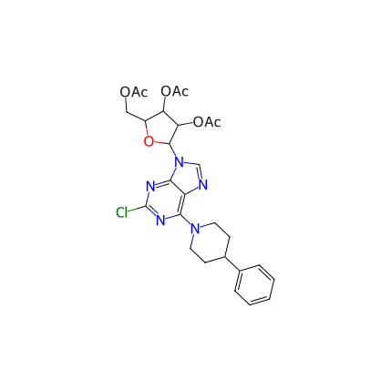 CC(=O)OCC1OC(n2cnc3c(N4CCC(c5ccccc5)CC4)nc(Cl)nc32)C(OC(C)=O)C1OC(C)=O